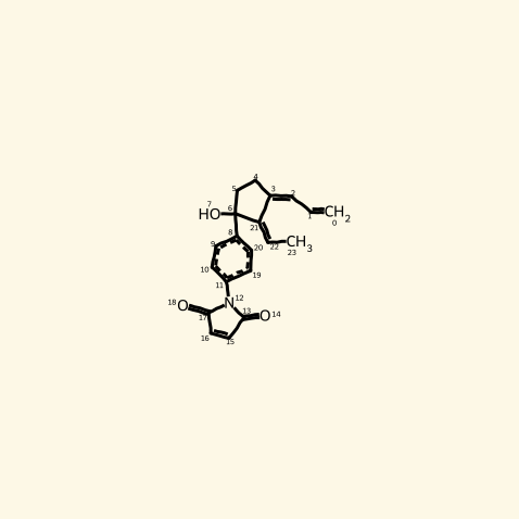 C=C/C=C1/CCC(O)(c2ccc(N3C(=O)C=CC3=O)cc2)/C1=C/C